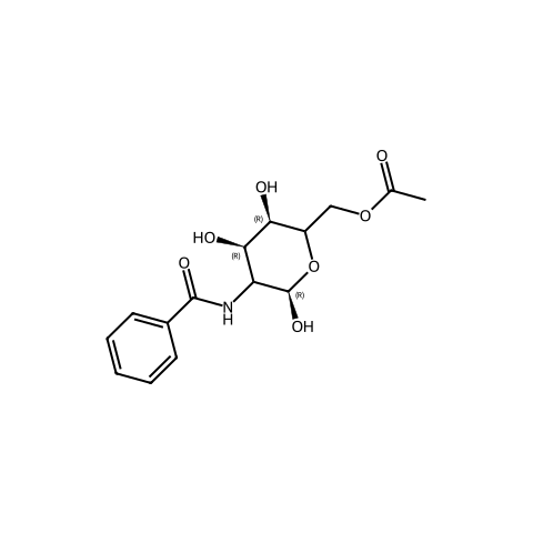 CC(=O)OCC1O[C@@H](O)C(NC(=O)c2ccccc2)[C@@H](O)[C@H]1O